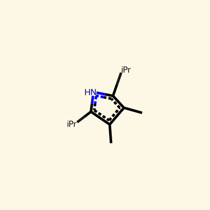 Cc1c(C(C)C)[nH]c(C(C)C)c1C